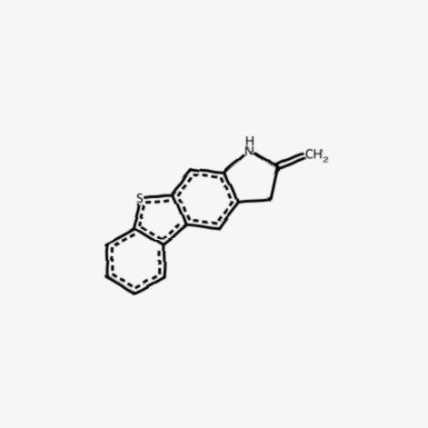 C=C1Cc2cc3c(cc2N1)sc1ccccc13